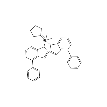 [CH3][Hf]([CH3])(=[C]1CCCC1)([CH]1C=Cc2c(-c3ccccc3)cccc21)[CH]1C=Cc2c(-c3ccccc3)cccc21